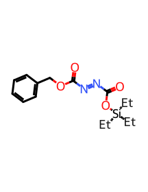 CC[Si](CC)(CC)OC(=O)N=NC(=O)OCc1ccccc1